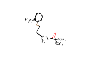 CC(=CCSc1ccccc1C)CCC1OC1(C)C